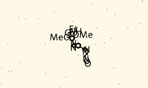 CCNC(=O)c1c(OC)cc(-n2cnc3cc(-c4cnn(CCN5CCOCC5)c4)ccc32)cc1OC